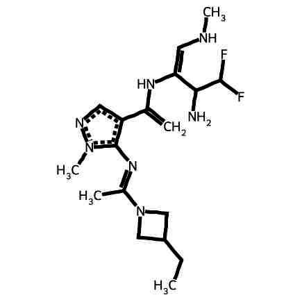 C=C(N/C(=C/NC)C(N)C(F)F)c1cnn(C)c1/N=C(\C)N1CC(CC)C1